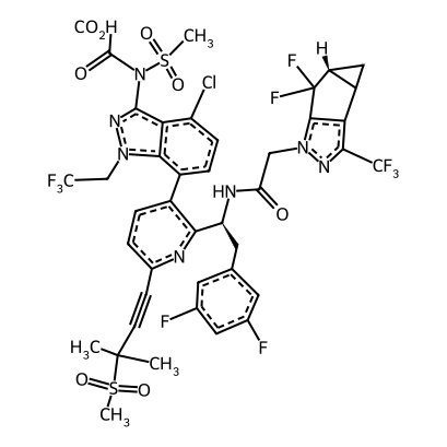 CC(C)(C#Cc1ccc(-c2ccc(Cl)c3c(N(C(=O)C(=O)O)S(C)(=O)=O)nn(CC(F)(F)F)c23)c([C@H](Cc2cc(F)cc(F)c2)NC(=O)Cn2nc(C(F)(F)F)c3c2C(F)(F)[C@@H]2CC32)n1)S(C)(=O)=O